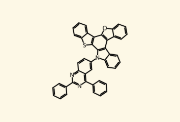 c1ccc(-c2nc(-c3ccccc3)c3cc(-n4c5ccccc5c5c6c7ccccc7oc6c6c7ccccc7sc6c54)ccc3n2)cc1